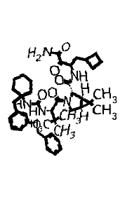 CC(C)(C)[C@H](NC(=O)NC1(Cc2cccc(OCc3ccccc3)c2)CCCCC1)C(=O)N1C[C@H]2[C@@H]([C@H]1C(=O)NC(CC1CCC1)C(=O)C(N)=O)C2(C)C